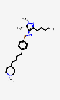 CCCCc1nn(C)c(C)c1NSc1ccc(CCCCC2CCN(C)CC2)cc1